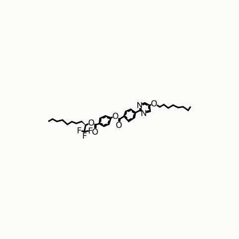 CCCCCCCCOc1cnc(-c2ccc(C(=O)Oc3ccc(C(=O)O[C@H](CCCCCCCC)C(F)(F)F)cc3)cc2)nc1